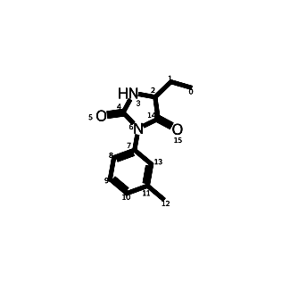 CCC1NC(=O)N(c2cccc(C)c2)C1=O